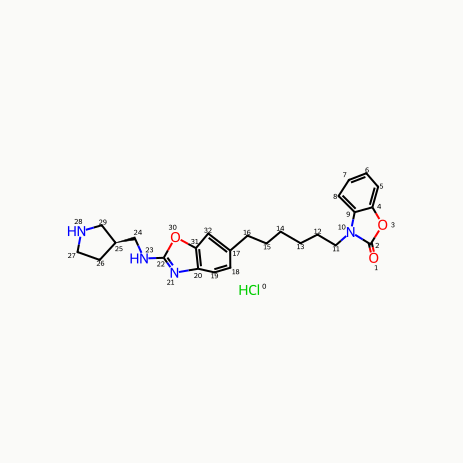 Cl.O=c1oc2ccccc2n1CCCCCCc1ccc2nc(NC[C@H]3CCNC3)oc2c1